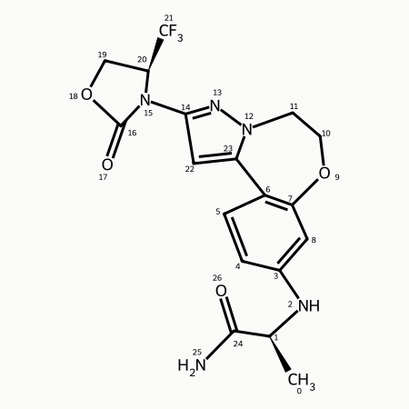 C[C@H](Nc1ccc2c(c1)OCCn1nc(N3C(=O)OC[C@H]3C(F)(F)F)cc1-2)C(N)=O